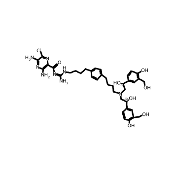 NC(=NC(=O)c1nc(Cl)c(N)nc1N)NCCCCc1ccc(CCCCN(C[C@@H](O)c2ccc(O)c(CO)c2)C[C@@H](O)c2ccc(O)c(CO)c2)cc1